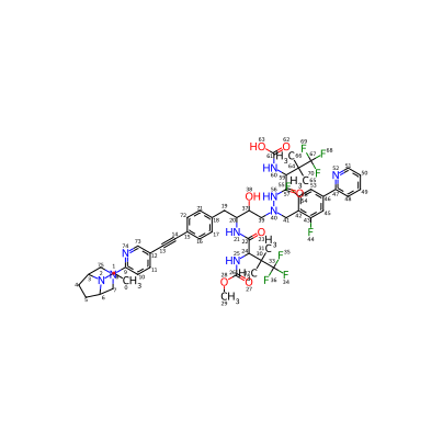 CCN1C2CCC1CN(c1ccc(C#Cc3ccc(CC(NC(=O)C(NC(=O)OC)C(C)(C)C(F)(F)F)C(O)CN(Cc4c(F)cc(-c5ccccn5)cc4F)NC(=O)C(NC(=O)O)C(C)(C)C(F)(F)F)cc3)cn1)C2